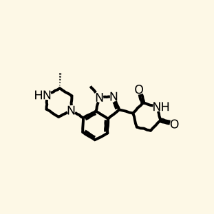 C[C@@H]1CN(c2cccc3c(C4CCC(=O)NC4=O)nn(C)c23)CCN1